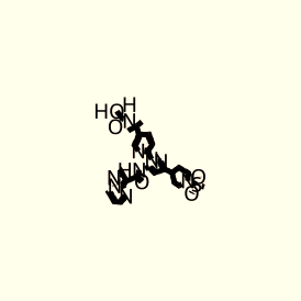 CC(C)(NC(=O)O)c1ccc(-n2nc(C3CCN(S(C)(=O)=O)CC3)cc2NC(=O)c2cnn3cccnc23)nc1